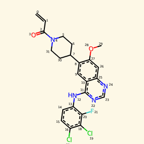 C=CC(=O)N1CCC(c2cc3c(Nc4ccc(Cl)c(Cl)c4F)ncnc3cc2OC)CC1